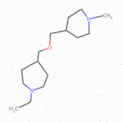 CCN1CCC(COCC2CCN(C)CC2)CC1